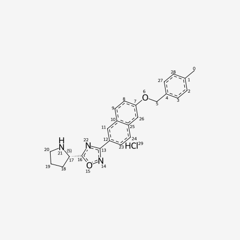 Cc1ccc(COc2ccc3cc(-c4noc([C@@H]5CCCN5)n4)ccc3c2)cc1.Cl